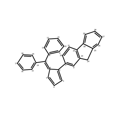 [c]1c(C2=CC=CC2=C(c2ccccc2)c2ccccc2)ccc2c1Cc1ccccc1-2